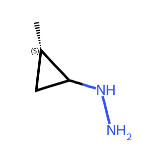 C[C@H]1CC1NN